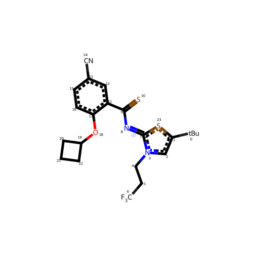 CC(C)(C)c1cn(CCC(F)(F)F)/c(=N/C(=S)c2cc(C#N)ccc2OC2CCC2)s1